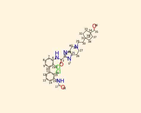 Cn1c(C(=O)Nc2cccc(-c3cccc(NC=O)c3Cl)c2Cl)nc2c1CCN(CCC13CCC(C=O)(CC1)C3)C2